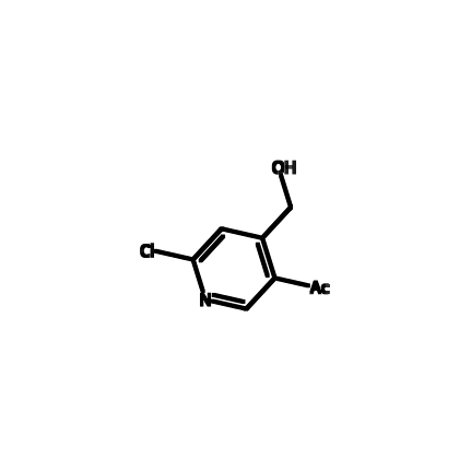 CC(=O)c1cnc(Cl)cc1CO